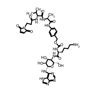 CC(C)[C@H](NC(=O)CCN1C(=O)C=CC1=O)C(=O)N[C@@H](C)C(=O)Nc1ccc(COC(=O)N[C@@H](CCCCN)C(=O)N[C@@H]2[C@@H](O)[C@H](O)[C@@H](Nc3ncnc4nc[nH]c34)O[C@H]2CO)cc1